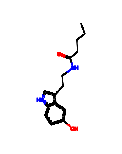 CCCCC(=O)NCCc1c[nH]c2ccc(O)cc12